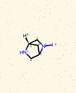 IN1C[C@@H]2CC1CN2